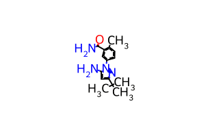 Cc1ccc(-n2nc(C(C)(C)C)cc2N)cc1C(N)=O